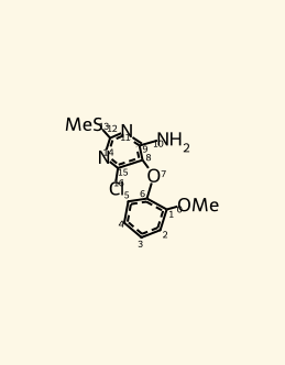 COc1ccccc1Oc1c(N)nc(SC)nc1Cl